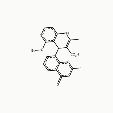 CCOc1nccc2c1C(c1cccc3c(=O)cc(C)oc13)C(C(=O)O)=C(C)N2